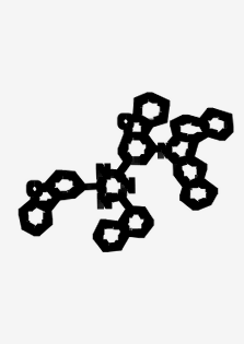 c1ccc2cc3c(cc2c1)c1c2ccccc2ccc1n3-c1cc(-c2nc(-c3ccc4oc5ccccc5c4c3)nc(-c3cccc4ccccc34)n2)cc2oc3ccccc3c12